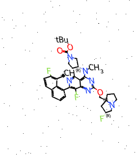 C#Cc1c(F)ccc2cccc(-c3ncc4c(N(C)[C@@H]5CCN(C(=O)OC(C)(C)C)C5)nc(OC[C@@]56CCCN5C[C@H](F)C6)nc4c3F)c12